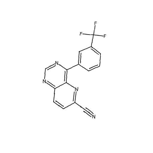 N#Cc1ccc2ncnc(-c3cccc(C(F)(F)F)c3)c2n1